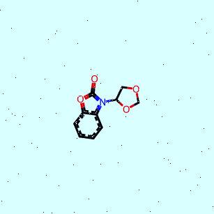 O=c1oc2ccccc2n1C1COCO1